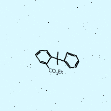 CCOC(=O)c1ccccc1C(C)(C)c1ccccc1